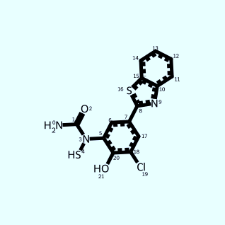 NC(=O)N(S)c1cc(-c2nc3ccccc3s2)cc(Cl)c1O